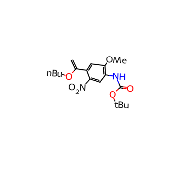 C=C(OCCCC)c1cc(OC)c(NC(=O)OC(C)(C)C)cc1[N+](=O)[O-]